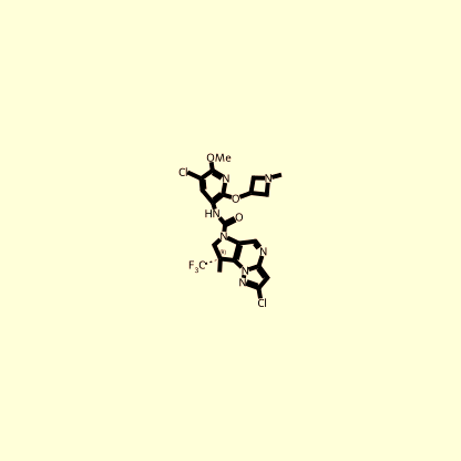 COc1nc(OC2CN(C)C2)c(NC(=O)N2C[C@@](C)(C(F)(F)F)c3c2cnc2cc(Cl)nn32)cc1Cl